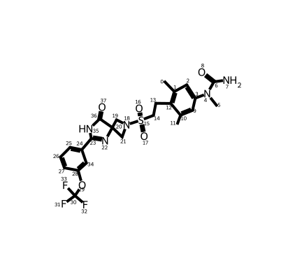 Cc1cc(N(C)C(N)=O)cc(C)c1CCS(=O)(=O)N1CC2(C1)N=C(c1cccc(OC(F)(F)F)c1)NC2=O